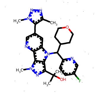 Cc1nnn(C)c1-c1cnc2c3c(c(C(C)(C)O)nn3C)n(C(c3ccc(F)cn3)C3CCOCC3)c2c1